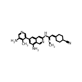 C=C=C(C=C1CCC(C#N)CC1)Nc1cc2cc(-c3cncc(N)c3C)cc(N)c2cn1